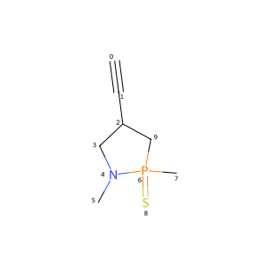 C#CC1CN(C)P(C)(=S)C1